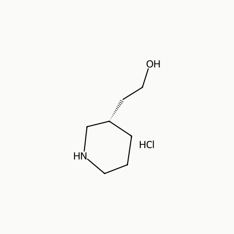 Cl.OCC[C@@H]1CCCNC1